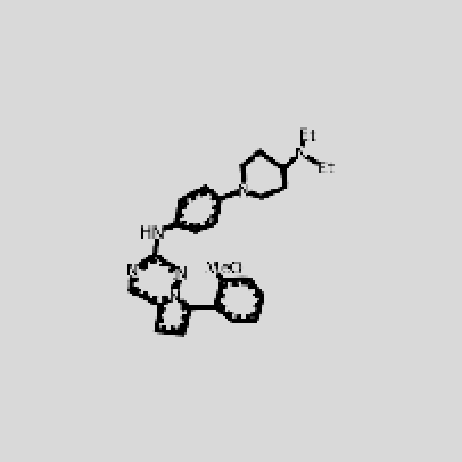 CCN(CC)C1CCN(c2ccc(Nc3ncc4ccc(-c5ccccc5OC)n4n3)cc2)CC1